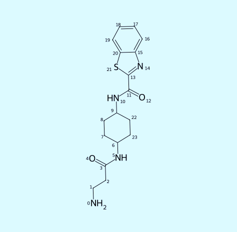 NCCC(=O)NC1CCC(NC(=O)c2nc3ccccc3s2)CC1